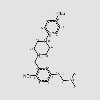 CN(C)CNc1ccc(C#N)c(CN2CCN(c3ccc(C(C)(C)C)cc3)CC2)c1